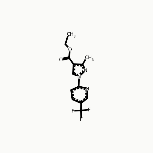 CCOC(=O)c1cn(-c2ccc(C(F)(F)F)cn2)nc1C